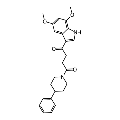 COc1cc(OC)c2[nH]cc(C(=O)CCC(=O)N3CCC(c4ccccc4)CC3)c2c1